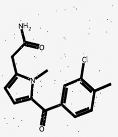 Cc1ccc(C(=O)c2ccc(CC(N)=O)n2C)cc1Cl